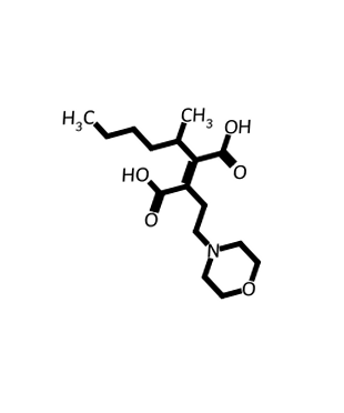 CCCCC(C)C(C(=O)O)=C(CCN1CCOCC1)C(=O)O